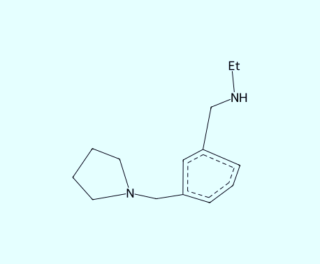 CCNCc1cccc(CN2CCCC2)c1